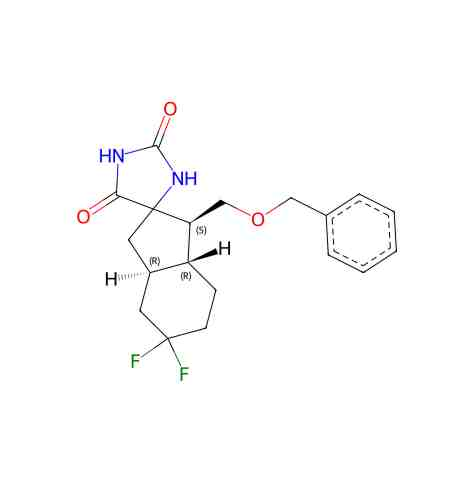 O=C1NC(=O)C2(C[C@@H]3CC(F)(F)CC[C@H]3[C@@H]2COCc2ccccc2)N1